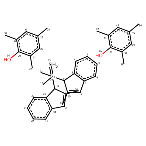 CC1=Cc2ccccc2[CH]1[Zr]([CH3])([CH3])(=[SiH2])[CH]1C(C)=Cc2ccccc21.Cc1cc(C)c(O)c(C)c1.Cc1cc(C)c(O)c(C)c1